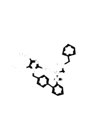 CCCCc1nc(SC)c(C(=O)O)n1Cc1ccc(-c2ccccc2S(=O)(=O)NC(=O)NCc2ccccc2)cc1